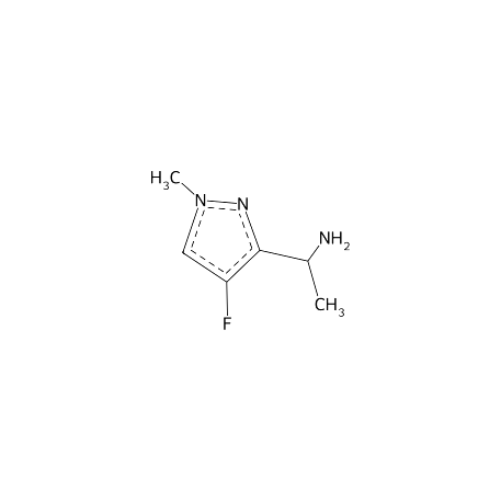 CC(N)c1nn(C)cc1F